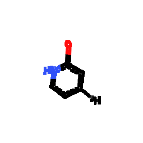 [2H]c1cc[nH]c(=O)c1